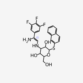 N/C(=C\NC1C(O)C(CO)OC(Sc2ccc3ccccc3c2)C1O)c1cc(F)c(F)c(F)c1